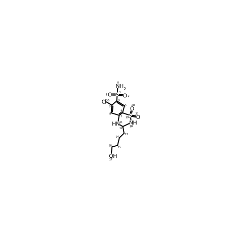 NS(=O)(=O)c1cc2c(cc1Cl)NC(CCCCO)NS2(=O)=O